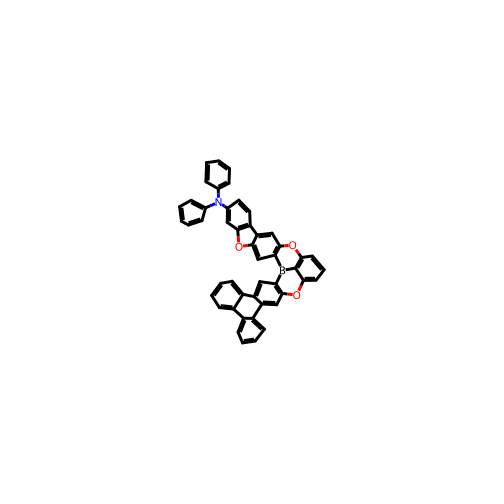 c1ccc(N(c2ccccc2)c2ccc3c(c2)oc2cc4c(cc23)Oc2cccc3c2B4c2cc4c5ccccc5c5ccccc5c4cc2O3)cc1